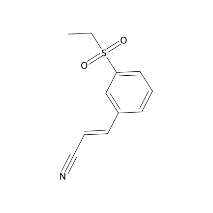 CCS(=O)(=O)c1cccc(C=CC#N)c1